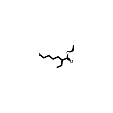 CCOC(=O)C(CC)CCCCI